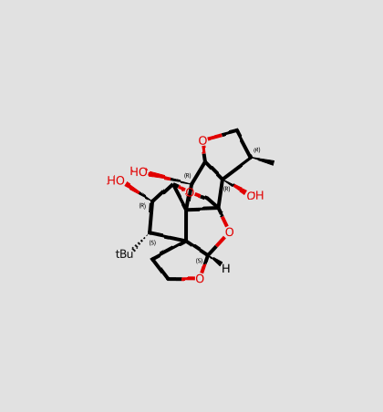 C[C@@H]1COC2[C@H](O)C34C5OCC3(O[C@@H]3OCCC34[C@H](C(C)(C)C)[C@H]5O)[C@]21O